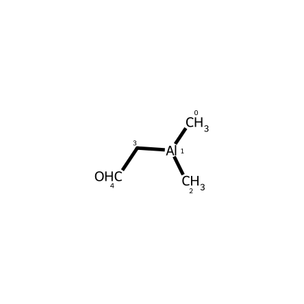 [CH3][Al]([CH3])[CH2]C=O